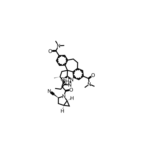 CCc1nnc(C2(C[C@@H](C)NCC(=O)N3[C@H](C#N)C[C@@H]4C[C@@H]43)c3ccc(C(=O)N(C)C)cc3CCc3cc(C(=O)N(C)C)ccc32)o1